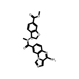 COC(=O)c1ccc2c(c1)OC[C@H]2N(C)C(=O)c1ccc2nc(N)c3cncn3c2c1